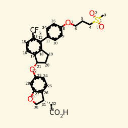 CS(=O)(=O)CCCOc1ccc(-c2c(C(F)(F)F)ccc3c2CC[C@H]3Oc2ccc3c(c2)OC[C@H]3CC(=O)O)cc1